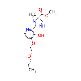 CCCOCCOc1ccnc(C2=NC(C)(C(=O)OC)CN2)c1O